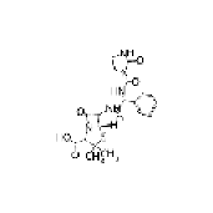 CC1(C)S[C@H]2C(NC(=O)[C@H](NC(=O)N3CCNC3=O)c3ccccc3)C(=O)N2C1C(=O)O